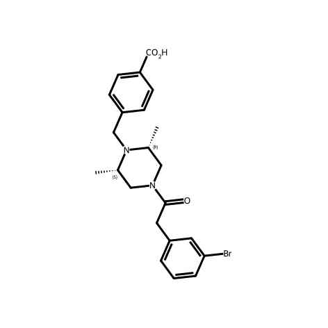 C[C@@H]1CN(C(=O)Cc2cccc(Br)c2)C[C@H](C)N1Cc1ccc(C(=O)O)cc1